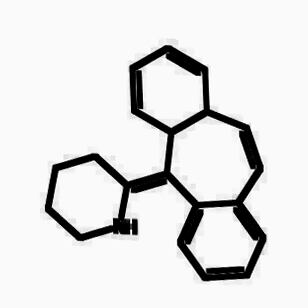 C1=CC2C=Cc3ccccc3C(=C3CCCCN3)C2C=C1